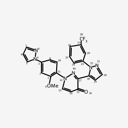 COc1cc(-n2cccn2)ccc1-n1ccc(=O)c(-c2ccnn2-c2cccc(C(F)(F)F)c2)n1